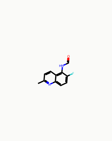 Cc1ccc2c(NC=O)c(F)ccc2n1